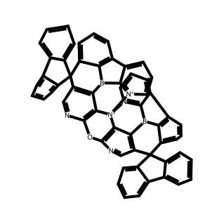 c1ccc2c(c1)-c1ccccc1C21c2cccc3c2B2c4c1cnc1c4[N+]4(c5c(ncc6c5B5c7c(cccc7C67c6ccccc6-c6ccccc67)-c6ccc[n+]4c65)O1)[n+]1cccc-3c12